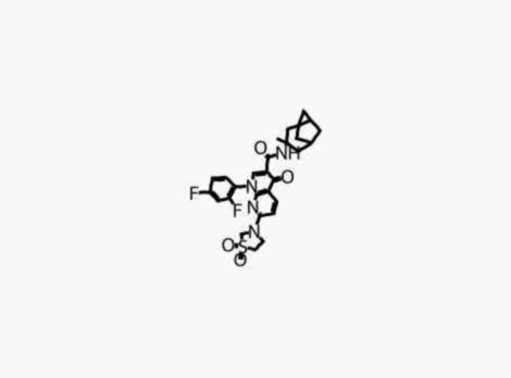 CC1(NC(=O)c2cn(-c3ccc(F)cc3F)c3nc(N4CCS(=O)(=O)C4)ccc3c2=O)CC2CC3CC3(C2)C1